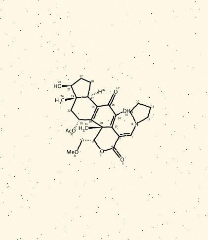 COC[C@H]1OC(=O)/C(=C/N2CCCC2)C2=C(O)C(=O)C3=C([C@H](OC(C)=O)C[C@]4(C)[C@@H](O)CC[C@@H]34)[C@]21C